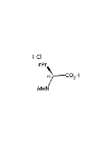 CCC[C@H](NC)C(=O)O.Cl